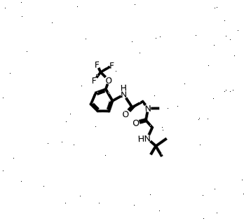 CN(CC(=O)Nc1ccccc1OC(F)(F)F)C(=O)CNC(C)(C)C